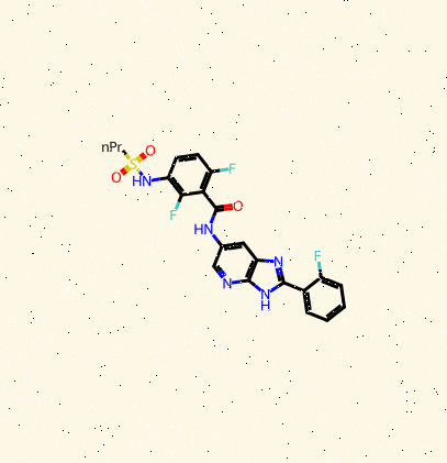 CCCS(=O)(=O)Nc1ccc(F)c(C(=O)Nc2cnc3[nH]c(-c4ccccc4F)nc3c2)c1F